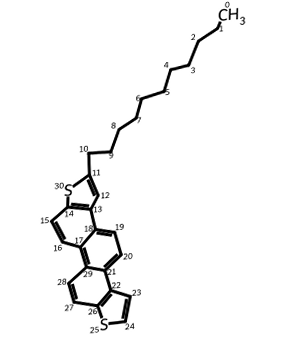 CCCCCCCCCCCc1cc2c(ccc3c2ccc2c4ccsc4ccc23)s1